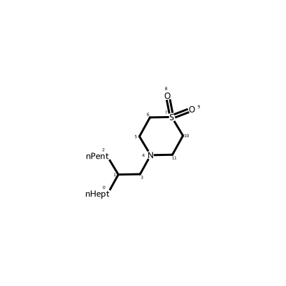 CCCCCCCC(CCCCC)CN1CCS(=O)(=O)CC1